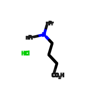 CCCN(CCC)CCCC(=O)O.Cl